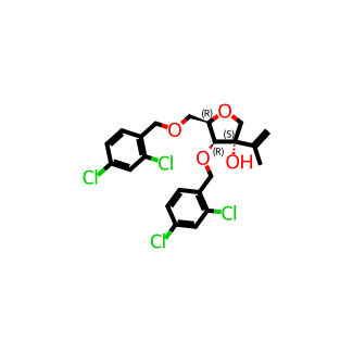 C=C(C)[C@]1(O)CO[C@H](COCc2ccc(Cl)cc2Cl)[C@H]1OCc1ccc(Cl)cc1Cl